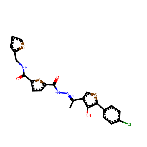 C/C(=N\NC(=O)c1ccc(C(=O)NCc2cccs2)s1)c1csc(-c2ccc(Cl)cc2)c1O